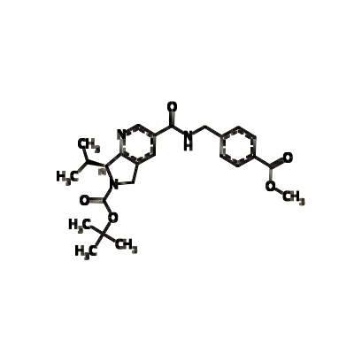 COC(=O)c1ccc(CNC(=O)c2cnc3c(c2)CN(C(=O)OC(C)(C)C)[C@H]3C(C)C)cc1